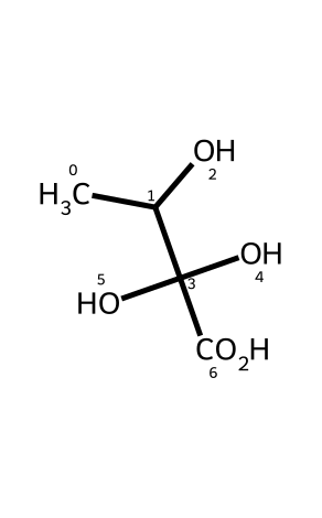 CC(O)C(O)(O)C(=O)O